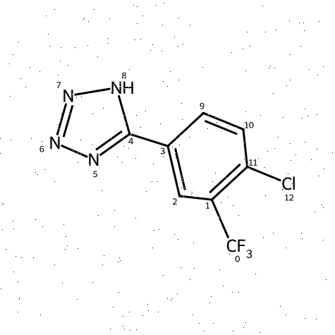 FC(F)(F)c1cc(-c2nnn[nH]2)ccc1Cl